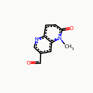 Cn1c(=O)ccc2ncc(C=O)cc21